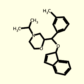 Cc1cccc(C(OC2C=Cc3ccccc32)C2CN(C(C)C)CCO2)c1